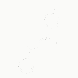 N#C/C(=C\OC(=O)c1ccccc1)c1ccc(Br)cc1